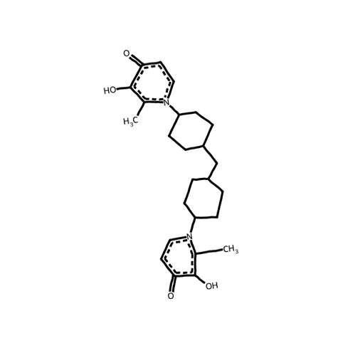 Cc1c(O)c(=O)ccn1C1CCC(CC2CCC(n3ccc(=O)c(O)c3C)CC2)CC1